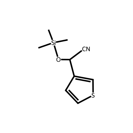 C[Si](C)(C)OC(C#N)c1ccsc1